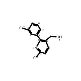 OCc1ccc(Cl)nc1-c1cccc(Cl)c1